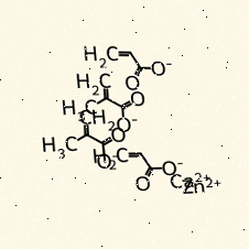 C=C(C)C(=O)[O-].C=C(C)C(=O)[O-].C=CC(=O)[O-].C=CC(=O)[O-].[Ca+2].[Zn+2]